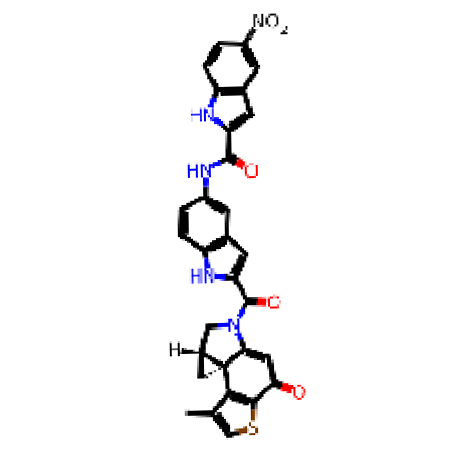 Cc1csc2c1[C@@]13C[C@@H]1CN(C(=O)c1cc4cc(NC(=O)c5cc6cc([N+](=O)[O-])ccc6[nH]5)ccc4[nH]1)C3=CC2=O